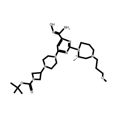 COCCCN1CCCN(c2nc(/C(N)=N/O)cc(N3CCN(C4CN(C(=O)OC(C)(C)C)C4)CC3)n2)[C@@H](C)C1